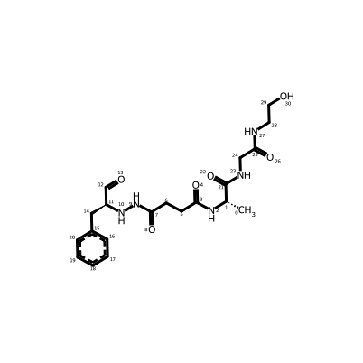 C[C@H](NC(=O)CCC(=O)NN[C@H](C=O)Cc1ccccc1)C(=O)NCC(=O)NCCO